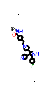 CC(C)NC(=O)c1ccc(CCN2CC=C(c3c[nH]c(-c4ccc(F)cc4)c3-c3ccncc3)CC2)cc1